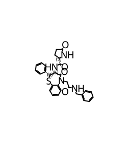 O=C(CN1C(=O)[C@H](NC(=O)[C@@H]2CCC(=O)N2)[C@@H](c2ccccc2)Sc2ccccc21)NCc1ccccc1